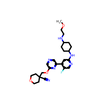 COCCNC1CCC(Nc2cc(-c3cncc(OCC4(C#N)CCOCC4)n3)c(F)cn2)CC1